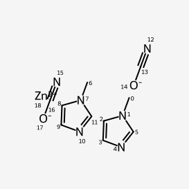 Cn1ccnc1.Cn1ccnc1.N#C[O-].N#C[O-].[Zn+2]